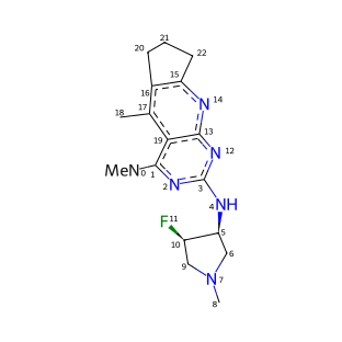 CNc1nc(N[C@H]2CN(C)C[C@H]2F)nc2nc3c(c(C)c12)CCC3